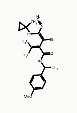 C=N/C(NC1(C)CC1)=C(\CC)C(C(=O)N[C@@H](C)c1ccc(OC)cc1)=C(C)C